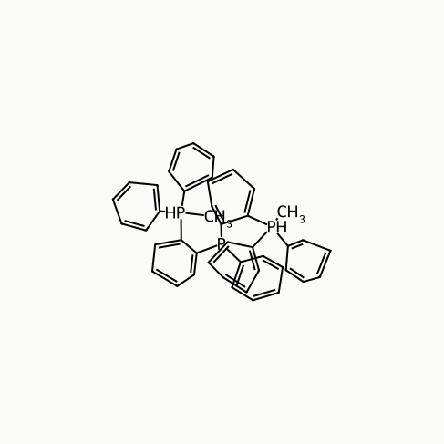 C[PH](c1ccccc1)(c1ccccc1)c1ccccc1P(c1ccccc1)c1ccccc1[PH](C)(c1ccccc1)c1ccccc1